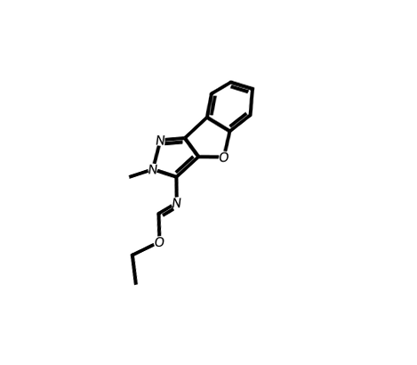 CCOC=Nc1c2oc3ccccc3c2nn1C